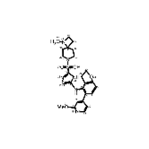 COc1cc(-c2ccc3c(c2Nc2nnc(S(=O)(=O)N4CCC5(CCN5C)CC4)[nH]2)CCO3)ccn1